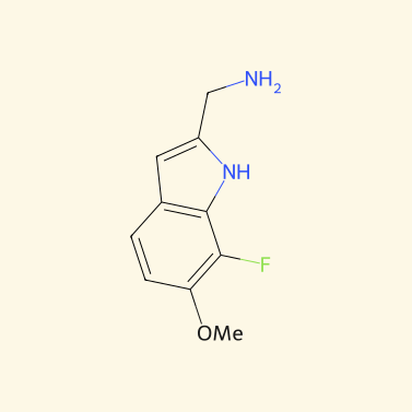 COc1ccc2cc(CN)[nH]c2c1F